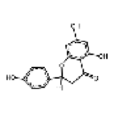 [2H]C1(c2ccc(O)cc2)CC(=O)c2c(O)cc(O)cc2O1